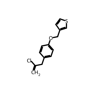 C=C(Cl)Cc1ccc(OCc2ccsc2)cc1